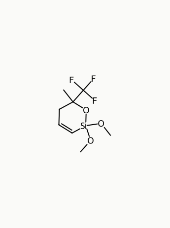 CO[Si]1(OC)C=CCC(C)(C(F)(F)F)O1